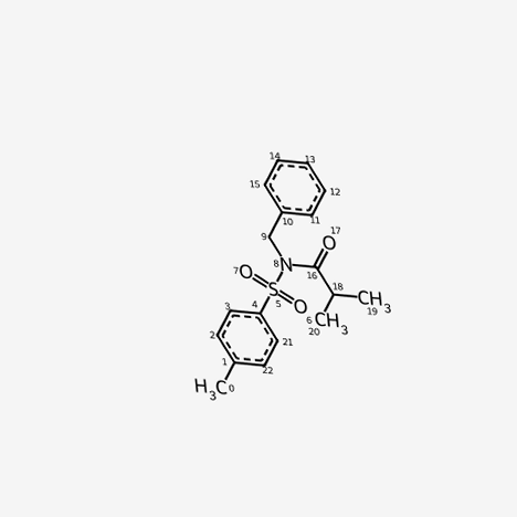 Cc1ccc(S(=O)(=O)N(Cc2ccccc2)C(=O)C(C)C)cc1